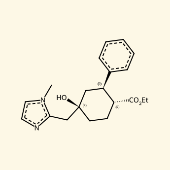 CCOC(=O)[C@@H]1CC[C@](O)(Cc2nccn2C)C[C@H]1c1ccccc1